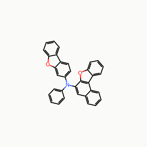 c1ccc(N(c2ccc3c(c2)oc2ccccc23)c2cc3ccccc3c3c2oc2ccccc23)cc1